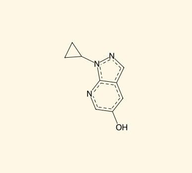 Oc1cnc2c(cnn2C2CC2)c1